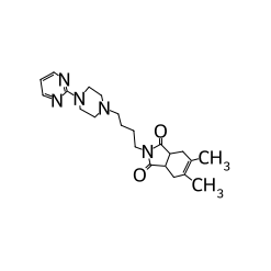 CC1=C(C)CC2C(=O)N(CCCCN3CCN(c4ncccn4)CC3)C(=O)C2C1